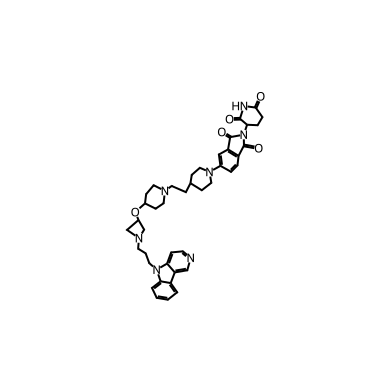 O=C1CCC(N2C(=O)c3ccc(N4CCC(CCN5CCC(OC6CN(CCCn7c8ccccc8c8cnccc87)C6)CC5)CC4)cc3C2=O)C(=O)N1